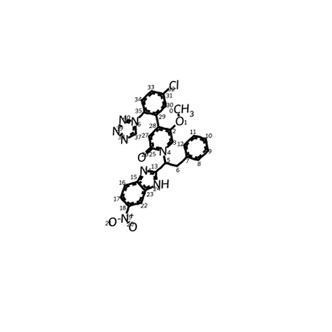 COc1cn(C(Cc2ccccc2)c2nc3ccc([N+](=O)[O-])cc3[nH]2)c(=O)cc1-c1cc(Cl)ccc1-n1cnnn1